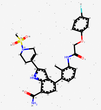 Cc1c(NC(=O)COc2ccc(F)cc2)cccc1-c1ccc(C(N)=O)c2[nH]c(C3=CCN(S(C)(=O)=O)CC3)cc12